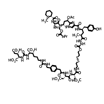 CCCC(=O)OCN(C(=O)[C@@H](NC(=O)[C@H]1CCCCN1C)C(C)CC)[C@H](C[C@@H](OC(C)=O)c1nc(C(=O)N[C@@H](Cc2ccc(O)cc2)C[C@H](C)C(=O)NNC(=O)OCCSSCCNC(=O)[C@H](CC(=O)O)NC(=O)[C@H](CC(=O)O)NC(=O)Cc2ccc(CNC(=O)NCCCC[C@H](NC(=O)N[C@@H](CCC(=O)O)C(=O)O)C(=O)O)cc2)cs1)C(C)C